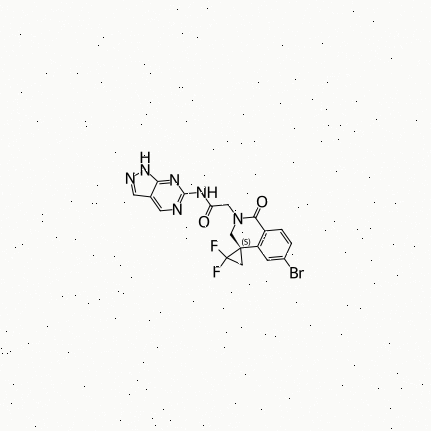 O=C(CN1C[C@]2(CC2(F)F)c2cc(Br)ccc2C1=O)Nc1ncc2cn[nH]c2n1